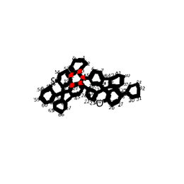 c1ccc(N(c2ccc3c(c2)C2(c4cc(C5CCCCC5)ccc4Oc4ccc(C5CCCCC5)cc42)c2ccccc2-3)c2ccc3c(c2)C2(c4ccccc4Sc4ccccc42)c2ccccc2-3)cc1